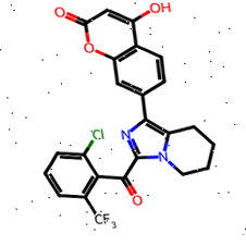 O=C(c1c(Cl)cccc1C(F)(F)F)c1nc(-c2ccc3c(O)cc(=O)oc3c2)c2n1CCCC2